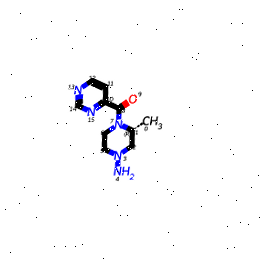 C[C@@H]1CN(N)CCN1C(=O)c1ccncn1